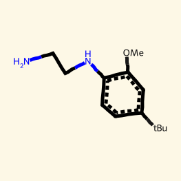 COc1cc(C(C)(C)C)ccc1NCCN